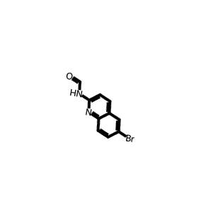 O=CNc1ccc2cc(Br)ccc2n1